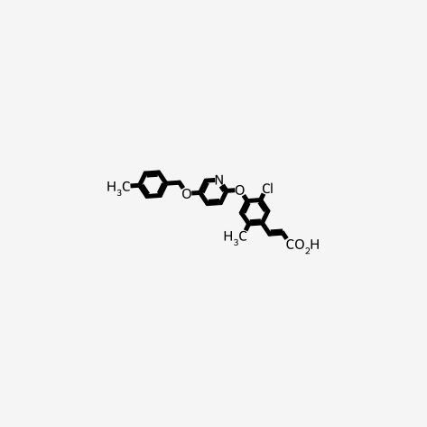 Cc1ccc(COc2ccc(Oc3cc(C)c(/C=C/C(=O)O)cc3Cl)nc2)cc1